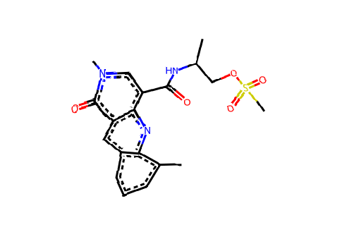 Cc1cccc2cc3c(=O)n(C)cc(C(=O)NC(C)COS(C)(=O)=O)c3nc12